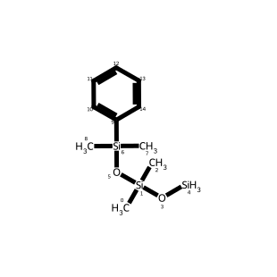 C[Si](C)(O[SiH3])O[Si](C)(C)c1ccccc1